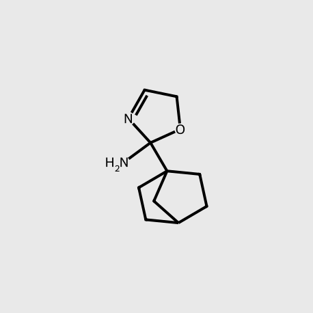 NC1(C23CCC(CC2)C3)N=CCO1